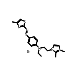 CCN(CCn1cc[n+](C)c1C)c1ccc(N=Nc2nc(C)cs2)cc1.[Br-]